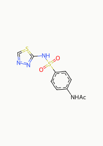 CC(=O)Nc1ccc(S(=O)(=O)Nc2nncs2)cc1